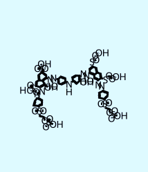 O=S(=O)(O)OCCS(=O)(=O)c1ccc(/N=N/c2c(SOOO)cc3cc(SOOO)cc(/N=N/c4ccc(Nc5ccc(/N=N/c6cc(S(=O)(=O)O)cc7cc(S(=O)(=O)O)c(/N=N/c8ccc(S(=O)(=O)CCOS(=O)(=O)O)cc8)c(O)c67)c(O)c5)cc4O)c3c2O)cc1